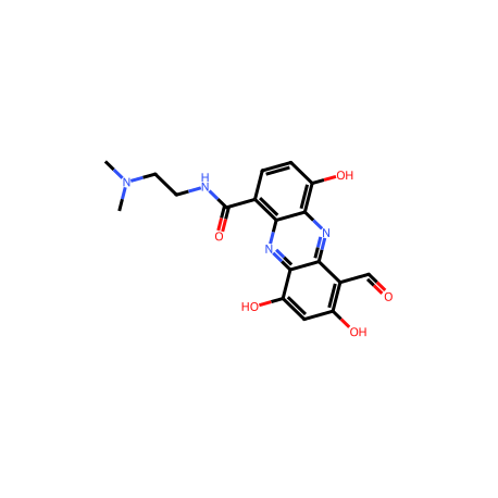 CN(C)CCNC(=O)c1ccc(O)c2nc3c(C=O)c(O)cc(O)c3nc12